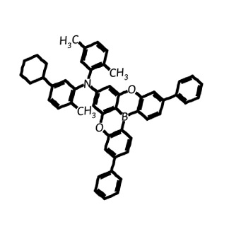 Cc1ccc(C)c(N(c2cc3c4c(c2)Oc2cc(-c5ccccc5)ccc2B4c2ccc(-c4ccccc4)cc2O3)c2cc(C3CCCCC3)ccc2C)c1